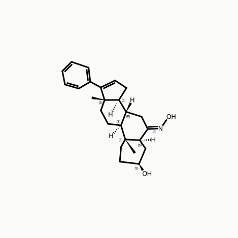 C[C@]12CC[C@H](O)C[C@@H]1/C(=N/O)C[C@@H]1[C@@H]2CC[C@]2(C)C(c3ccccc3)=CC[C@@H]12